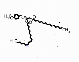 CCCCC/C=C\C/C=C\CCCCCCCC(=O)O[C@@H](COCc1ccc(OC)cc1)COC(=O)CCCCCCCCCCCCCCC